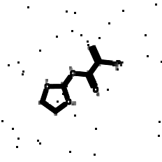 C=C(CCC)C(=O)OC1OCCO1